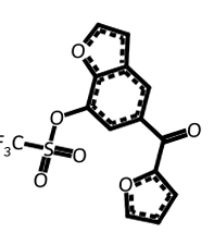 O=C(c1cc(OS(=O)(=O)C(F)(F)F)c2occc2c1)c1ccco1